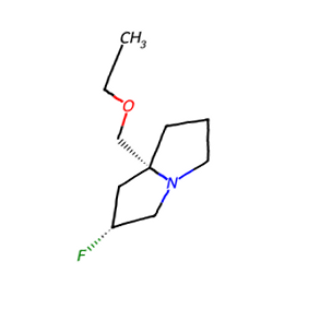 CCOC[C@]12CCCN1C[C@H](F)C2